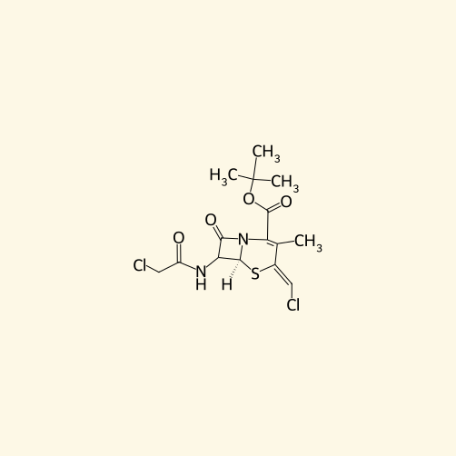 CC1=C(C(=O)OC(C)(C)C)N2C(=O)C(NC(=O)CCl)[C@@H]2SC1=CCl